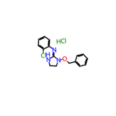 Cl.Clc1ccccc1/N=C1\NCCN1OCc1ccccc1